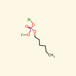 CCCCCCOP(=O)(OF)OBr